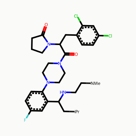 CNCCNC(CC(C)C)c1cc(F)ccc1N1CCN(C(=O)C(Cc2ccc(Cl)cc2Cl)N2CCCC2=O)CC1